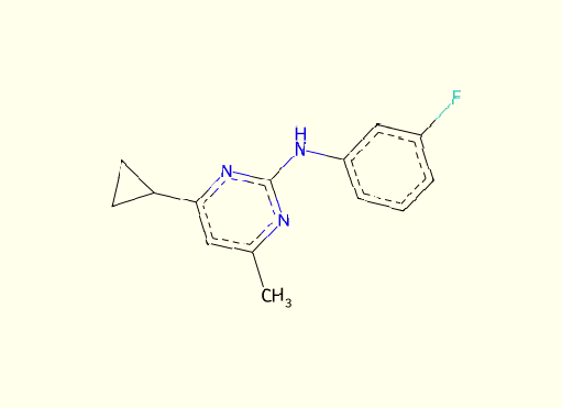 Cc1cc(C2CC2)nc(Nc2cccc(F)c2)n1